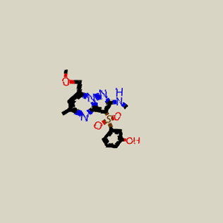 CNc1nn2c(COC)cc(C)nc2c1S(=O)(=O)c1cccc(O)c1